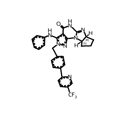 O=C1NC2=N[C@@H]3CCC[C@@H]3N2c2nn(Cc3ccc(-c4ccc(C(F)(F)F)cn4)cc3)c(Nc3ccccc3)c21